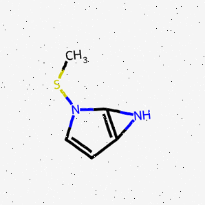 CSn1ccc2c1N2